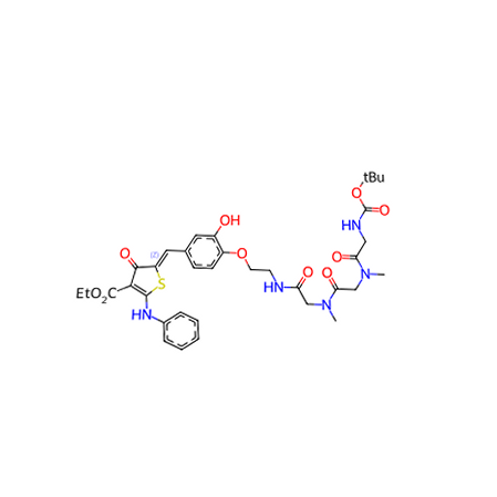 CCOC(=O)C1=C(Nc2ccccc2)S/C(=C\c2ccc(OCCNC(=O)CN(C)C(=O)CN(C)C(=O)CNC(=O)OC(C)(C)C)c(O)c2)C1=O